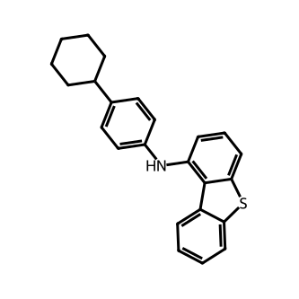 c1ccc2c(c1)sc1cccc(Nc3ccc(C4CCCCC4)cc3)c12